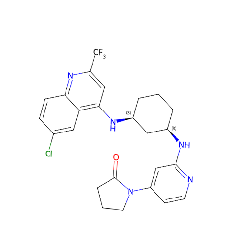 O=C1CCCN1c1ccnc(N[C@@H]2CCC[C@H](Nc3cc(C(F)(F)F)nc4ccc(Cl)cc34)C2)c1